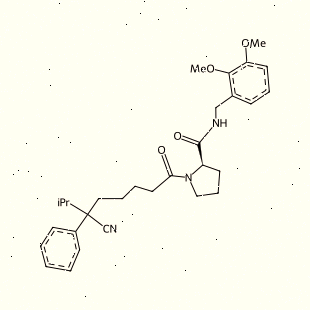 COc1cccc(CNC(=O)[C@H]2CCCN2C(=O)CCCCC(C#N)(c2ccccc2)C(C)C)c1OC